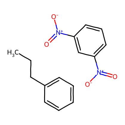 CCCc1ccccc1.O=[N+]([O-])c1cccc([N+](=O)[O-])c1